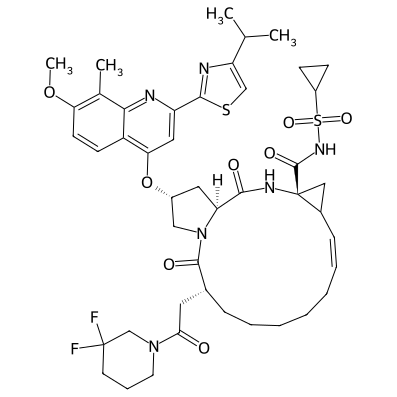 COc1ccc2c(O[C@@H]3C[C@H]4C(=O)N[C@]5(C(=O)NS(=O)(=O)C6CC6)CC5/C=C\CCCCC[C@H](CC(=O)N5CCCC(F)(F)C5)C(=O)N4C3)cc(-c3nc(C(C)C)cs3)nc2c1C